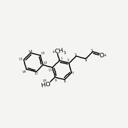 Cc1c(C[CH]C=O)ccc(O)c1-c1ccccc1